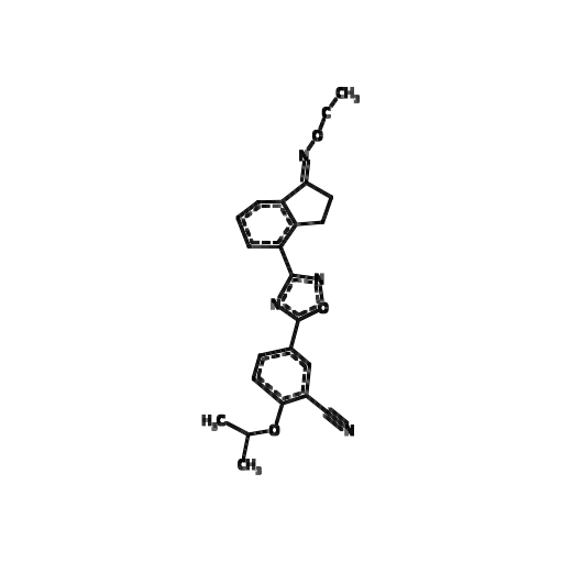 CCON=C1CCc2c1cccc2-c1noc(-c2ccc(OC(C)C)c(C#N)c2)n1